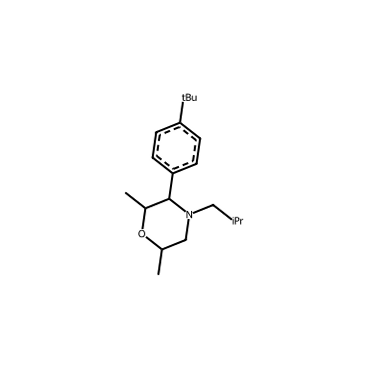 CC(C)CN1CC(C)OC(C)C1c1ccc(C(C)(C)C)cc1